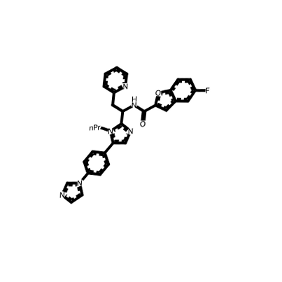 CCCn1c(-c2ccc(-n3ccnc3)cc2)cnc1C(Cc1ccccn1)NC(=O)c1cc2cc(F)ccc2o1